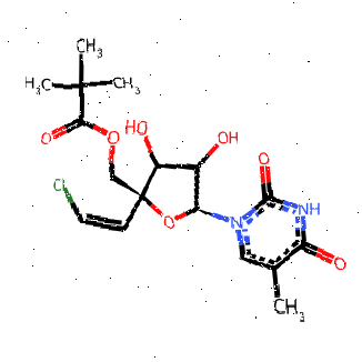 Cc1cn([C@H]2O[C@@](/C=C\Cl)(COC(=O)C(C)(C)C)C(O)C2O)c(=O)[nH]c1=O